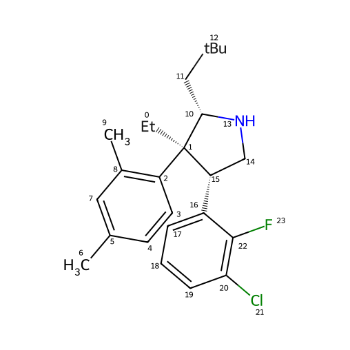 CC[C@]1(c2ccc(C)cc2C)[C@H](CC(C)(C)C)NC[C@@H]1c1cccc(Cl)c1F